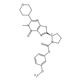 Cn1c(C2CCOCC2)nc2sc([C@H]3CCCN3C(=O)Oc3cccc(OC(F)(F)F)c3)nc2c1=O